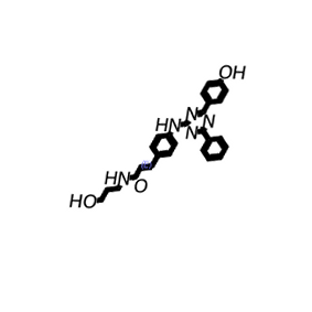 O=C(/C=C/c1ccc(Nc2nc(-c3ccccc3)nc(-c3ccc(O)cc3)n2)cc1)NCCCO